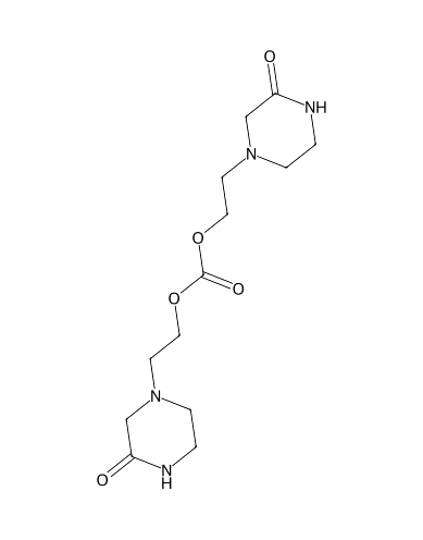 O=C1CN(CCOC(=O)OCCN2CCNC(=O)C2)CCN1